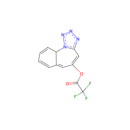 O=C(OC1=Cc2nnnn2C2C=CC=CC2=C1)C(F)(F)F